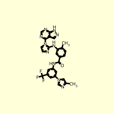 Cc1cn(-c2cc(NC(=O)c3ccc(C)c(Nc4nccn4-c4ncnc5[nH]ncc45)c3)cc(C(F)(F)F)c2)cn1